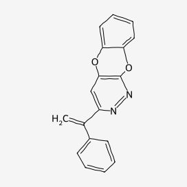 C=C(c1ccccc1)c1cc2c(nn1)Oc1ccccc1O2